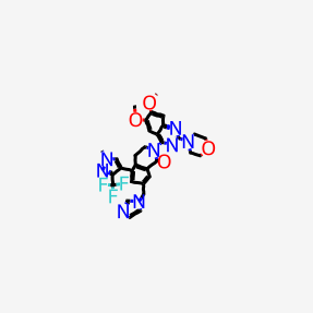 COc1cc2nc(N3CCOCC3)nc(N3CCc4c(cc(Cn5ccnc5)cc4-c4cn(C)nc4C(F)(F)F)C3=O)c2cc1OC